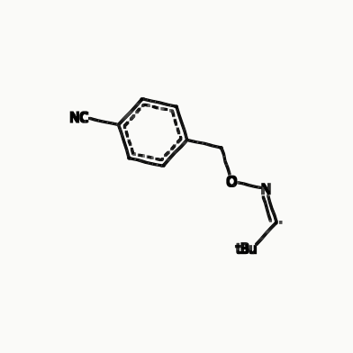 CC(C)(C)/[C]=N\OCc1ccc(C#N)cc1